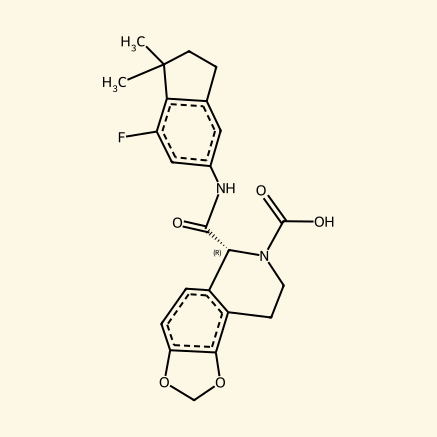 CC1(C)CCc2cc(NC(=O)[C@H]3c4ccc5c(c4CCN3C(=O)O)OCO5)cc(F)c21